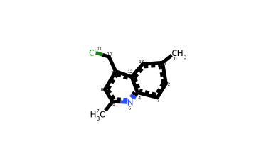 Cc1ccc2nc(C)cc(CCl)c2c1